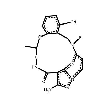 CCN1Cc2c(C#N)cccc2OC(C)CNC(=O)c2c(N)nn3ccc1nc23